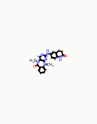 CN1C(=O)c2ccccc2N(C)c2nc(Nc3ccc4c(c3)CCC(=O)N4)ncc21